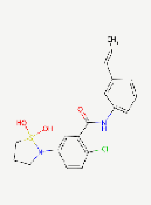 CC=Cc1cccc(NC(=O)c2cc(N3CCCS3(O)O)ccc2Cl)c1